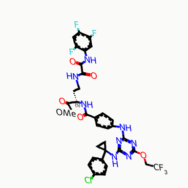 COC(=O)[C@H](CCNC(=O)C(=O)Nc1cc(F)c(F)cc1F)NC(=O)c1ccc(Nc2nc(NC3(c4ccc(Cl)cc4)CC3)nc(OCC(F)(F)F)n2)cc1